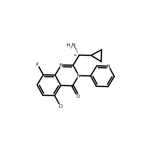 N[C@@H](c1nc2c(F)ccc(Cl)c2c(=O)n1-c1cccnc1)C1CC1